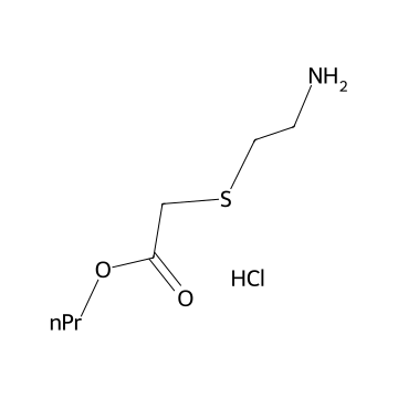 CCCOC(=O)CSCCN.Cl